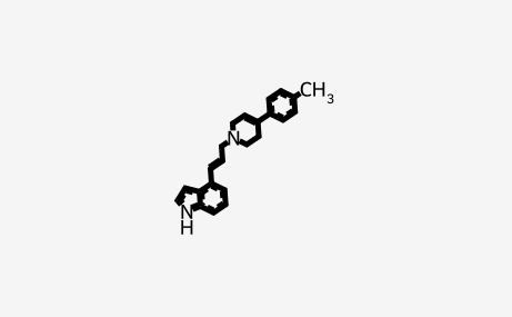 Cc1ccc(C2=CCN(CC=Cc3cccc4[nH]ccc34)CC2)cc1